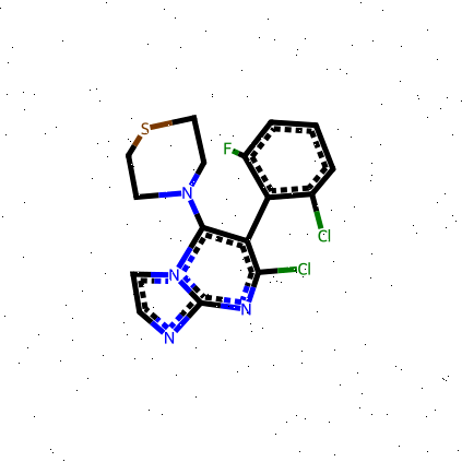 Fc1cccc(Cl)c1-c1c(Cl)nc2nccn2c1N1CCSCC1